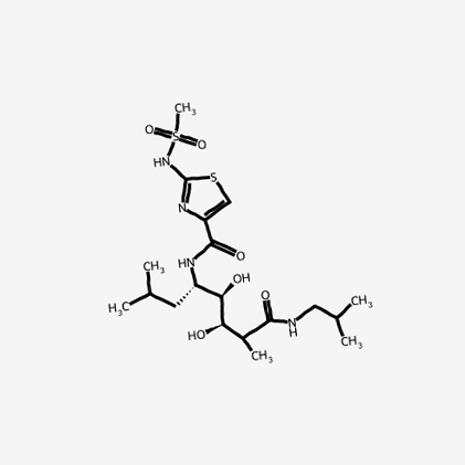 CC(C)CNC(=O)C(C)[C@@H](O)[C@H](O)[C@H](CC(C)C)NC(=O)c1csc(NS(C)(=O)=O)n1